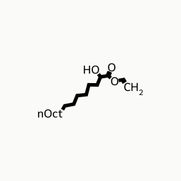 C=COC(=O)C(O)CCCCCCCCCCCCCC